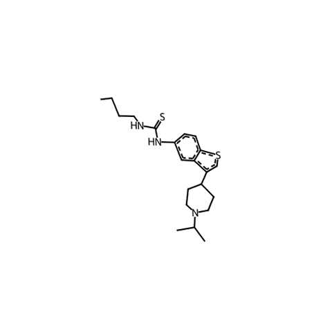 CCCCNC(=S)Nc1ccc2scc(C3CCN(C(C)C)CC3)c2c1